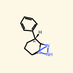 c1ccc([C@H]2CCC3N4NN3C24)cc1